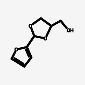 OCC1COC(c2ccco2)O1